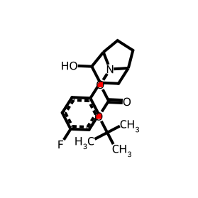 CC(C)(C)OC(=O)ON1C2CCC1C(O)C(c1ccc(F)cc1)C2